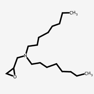 CCCCCCCCN(CCCCCCCC)CC1CO1